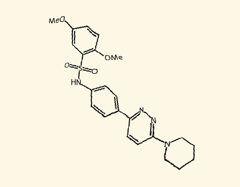 COc1ccc(OC)c(S(=O)(=O)Nc2ccc(-c3ccc(N4CCCCC4)nn3)cc2)c1